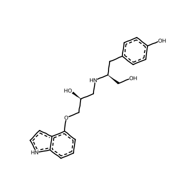 OC[C@H](Cc1ccc(O)cc1)NC[C@H](O)COc1cccc2[nH]ccc12